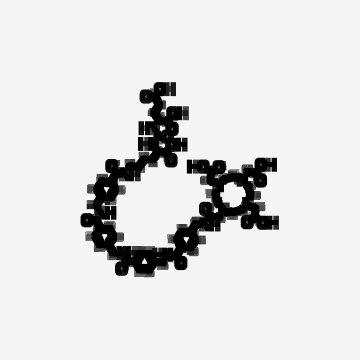 O=C(O)CCC(NC(=O)NC(CCCCNC(=O)c1ccc(CNC(=O)c2ccc(CNC(=O)c3ccc(CNC(=O)c4ccc(CNC(=O)CN5CCN(CC(=O)O)CCN(CC(=O)O)CCN(CC(=O)O)CC5)cc4)cc3)cc2)cc1)C(=O)O)C(=O)O